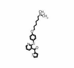 CN(C)CCCCCCOc1ccc(Sc2ncccc2C(=O)c2cccs2)cc1